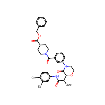 [C-]#[N+]c1ccc(NC(=O)[C@H](OC(C)=O)[C@H]2OCCN(c3cccc(C(=O)N4CCC(C(=O)OCc5ccccc5)CC4)c3)C2=O)cc1CC